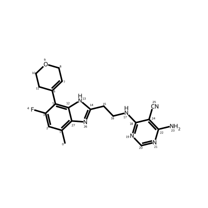 Cc1cc(F)c(C2=CCOCC2)c2[nH]c(CCNc3ncnc(N)c3C#N)nc12